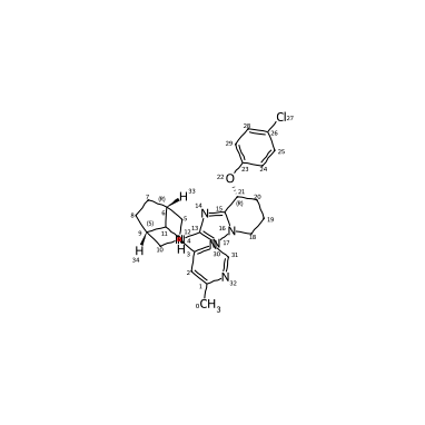 Cc1cc(N2C[C@H]3CC[C@@H](C2)C3Nc2nc3n(n2)CCC[C@H]3Oc2ccc(Cl)cc2)ncn1